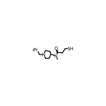 CC(C)CN1CCC(N(C)C(=O)CCS)CC1